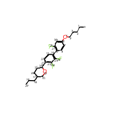 CCCCCOc1ccc(-c2ccc(C3CCC(CCC)CO3)c(F)c2F)c(F)c1